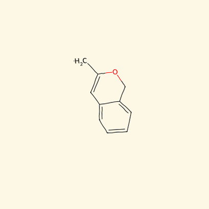 [CH2]C1=Cc2ccccc2CO1